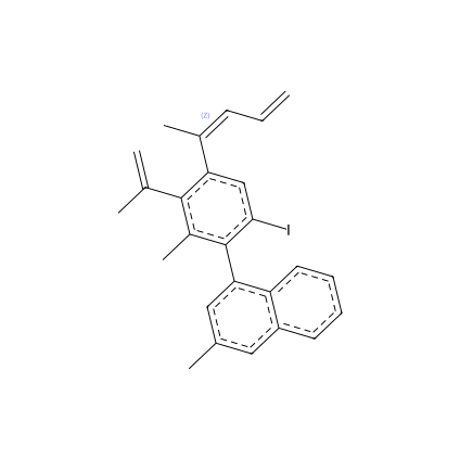 C=C/C=C(/C)c1cc(I)c(-c2cc(C)cc3ccccc23)c(C)c1C(=C)C